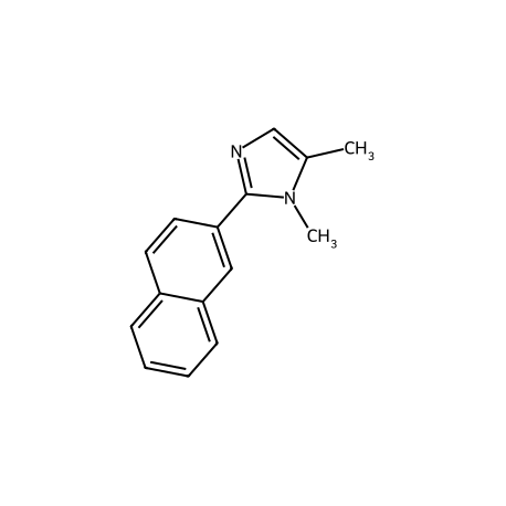 Cc1cnc(-c2ccc3ccccc3c2)n1C